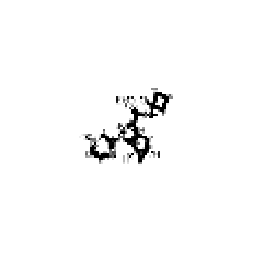 CCOC(=O)C1(NC(=O)c2nn(-c3c[n+]([O-])ccn3)c3c2C[C@H]2C[C@@H]32)CCC1